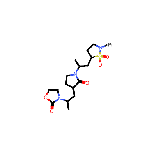 CC(CC1CCN(C(C)CC2CCN(C(C)C)S2(=O)=O)C1=O)N1CCOC1=O